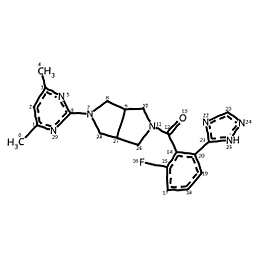 Cc1cc(C)nc(N2CC3CN(C(=O)c4c(F)cccc4-c4ncn[nH]4)CC3C2)n1